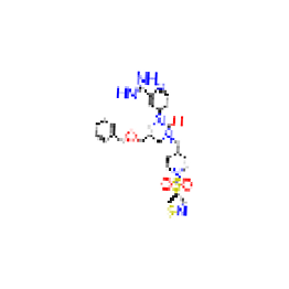 N=C(N)c1cccc(N2CC(COCc3ccccc3)CN(CC3CCN(S(=O)(=O)c4cnsc4)CC3)C2=O)c1